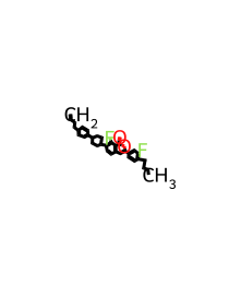 C=CCCc1ccc(C2CCC(c3ccc4cc(-c5ccc(CCCC)c(F)c5)oc(=O)c4c3F)CC2)cc1